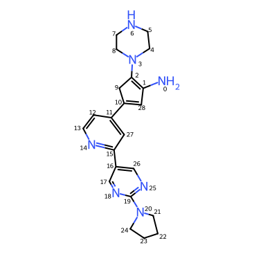 NC1=C(N2CCNCC2)CC(c2ccnc(-c3cnc(N4CCCC4)nc3)c2)=C1